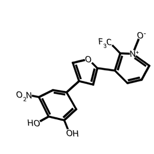 O=[N+]([O-])c1cc(-c2coc(-c3ccc[n+]([O-])c3C(F)(F)F)c2)cc(O)c1O